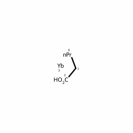 CCCCC(=O)O.[Yb]